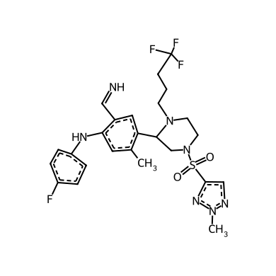 Cc1cc(Nc2ccc(F)cc2)c(C=N)cc1C1CN(S(=O)(=O)c2cnn(C)n2)CCN1CCCC(F)(F)F